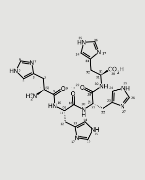 N[C@@H](Cc1c[nH]cn1)C(=O)N[C@@H](Cc1c[nH]cn1)C(=O)N[C@@H](Cc1c[nH]cn1)C(=O)N[C@@H](Cc1c[nH]cn1)C(=O)O